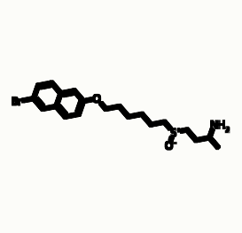 CC(N)CC[S+]([O-])CCCCCCOc1ccc2cc(Br)ccc2c1